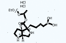 CCOC(=O)OC(C)OC(=O)[C@]1(CCCCB(O)O)NC[C@@H]2NCC[C@@H]21.Cl.Cl